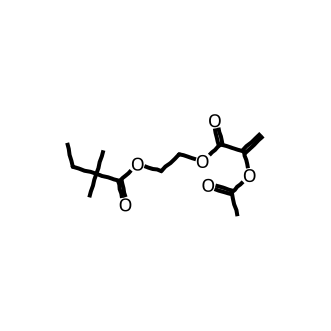 C=C(OC(C)=O)C(=O)OCCOC(=O)C(C)(C)CC